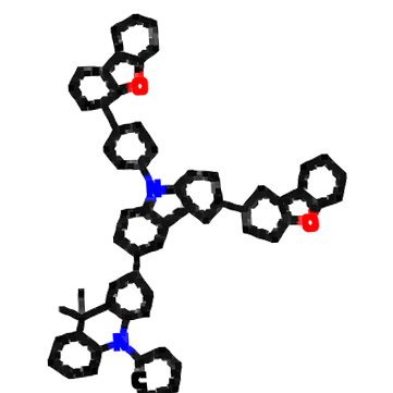 CC1(C)c2ccccc2N(c2ccccc2)c2ccc(-c3ccc4c(c3)c3cc(-c5ccc6oc7ccccc7c6c5)ccc3n4-c3ccc(-c4cccc5c4oc4ccccc45)cc3)cc21